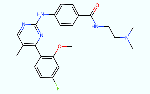 COc1cc(F)ccc1-c1nc(Nc2ccc(C(=O)NCCN(C)C)cc2)ncc1C